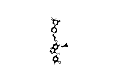 CC1CN(C2CCN(CCCOc3cc4ncnc(Nc5ccc(F)c(Cl)c5)c4cc3OCC3CC3)CC2)CC(=O)O1